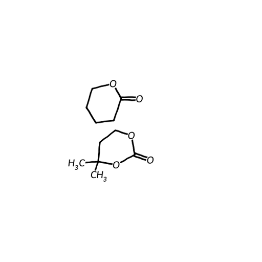 CC1(C)CCOC(=O)O1.O=C1CCCCO1